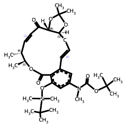 C[C@@H]1/C=C\C(=O)[C@@H]2OC(C)(C)O[C@H]2C/C=C/c2cc(N(C)C(=O)OC(C)(C)C)cc(O[Si](C)(C)C(C)(C)C)c2C(=O)O[C@H]1C